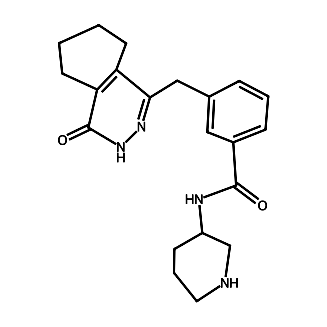 O=C(NC1CCCNC1)c1cccc(Cc2n[nH]c(=O)c3c2CCCC3)c1